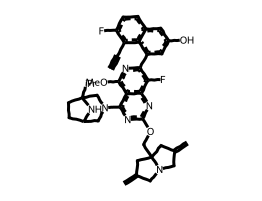 C#Cc1c(F)ccc2cc(O)cc(-c3nc(OC)c4c(N5CC6CCC(C(C)C)(C5)N6)nc(OCC56CC(=C)CN5CC(=C)C6)nc4c3F)c12